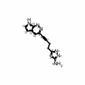 Nc1nnc(CCC#Cc2cc3cc[nH]c3nn2)s1